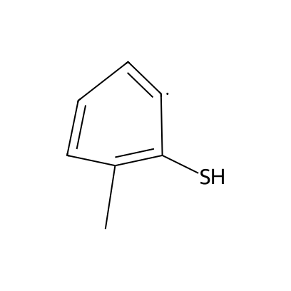 Cc1ccc[c]c1S